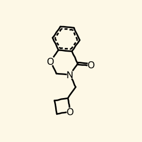 O=C1c2ccccc2OCN1CC1CCO1